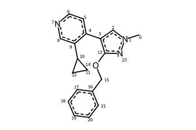 Cn1cc(-c2ccncc2C2CC2)c(OCc2ccccc2)n1